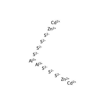 [Al+3].[Al+3].[Cd+2].[Cd+2].[S-2].[S-2].[S-2].[S-2].[S-2].[S-2].[S-2].[Zn+2].[Zn+2]